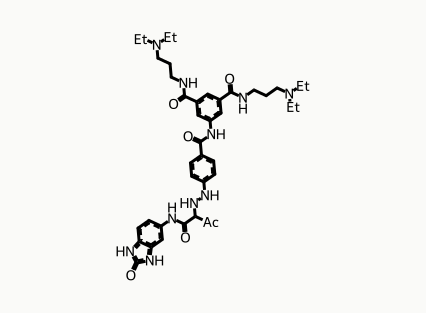 CCN(CC)CCCNC(=O)c1cc(NC(=O)c2ccc(NNC(C(C)=O)C(=O)Nc3ccc4[nH]c(=O)[nH]c4c3)cc2)cc(C(=O)NCCCN(CC)CC)c1